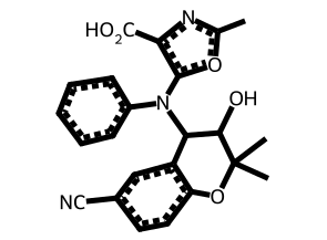 Cc1nc(C(=O)O)c(N(c2ccccc2)C2c3cc(C#N)ccc3OC(C)(C)C2O)o1